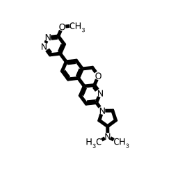 COc1cc(-c2ccc3c(c2)COc2nc(N4CCC(N(C)C)C4)ccc2-3)cnn1